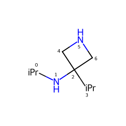 CC(C)NC1(C(C)C)CNC1